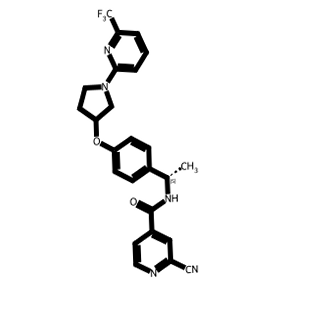 C[C@H](NC(=O)c1ccnc(C#N)c1)c1ccc(OC2CCN(c3cccc(C(F)(F)F)n3)C2)cc1